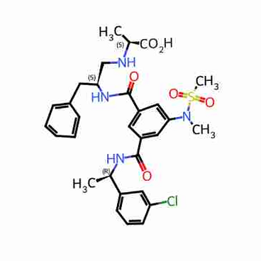 C[C@H](NC[C@H](Cc1ccccc1)NC(=O)c1cc(C(=O)N[C@H](C)c2cccc(Cl)c2)cc(N(C)S(C)(=O)=O)c1)C(=O)O